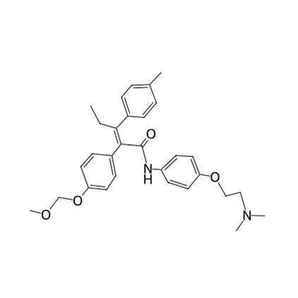 CC/C(=C(/C(=O)Nc1ccc(OCCN(C)C)cc1)c1ccc(OCOC)cc1)c1ccc(C)cc1